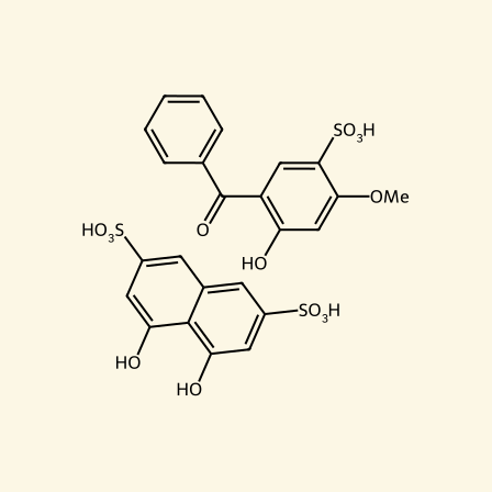 COc1cc(O)c(C(=O)c2ccccc2)cc1S(=O)(=O)O.O=S(=O)(O)c1cc(O)c2c(O)cc(S(=O)(=O)O)cc2c1